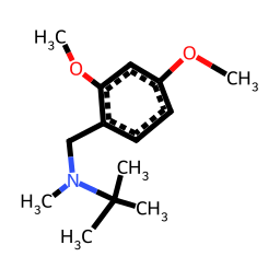 COc1ccc(CN(C)C(C)(C)C)c(OC)c1